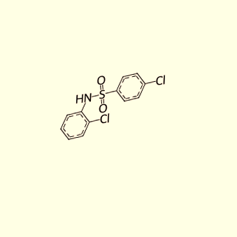 O=S(=O)(Nc1ccccc1Cl)c1ccc(Cl)cc1